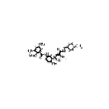 COc1c(N)cc(C(C)(C)C)cc1C(=O)Nc1ccc(C)c(C(=N)/C=C(\P)C(=O)NCC2CCN(C)CC2)c1